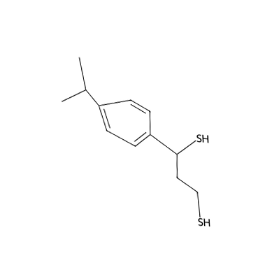 CC(C)c1ccc(C(S)CCS)cc1